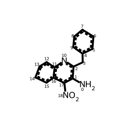 Nc1c(Cc2ccccc2)nc2ccccc2c1[N+](=O)[O-]